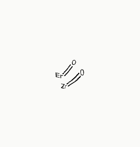 [O]=[Er].[O]=[Zr]